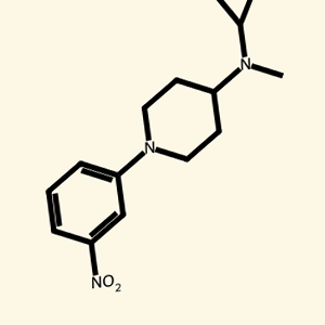 CN(C1CC1)C1CCN(c2cccc([N+](=O)[O-])c2)CC1